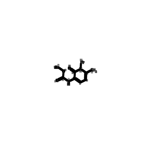 Cc1ccc(NC(=O)OC(C)(C)C)c(=O)n1C(C)C